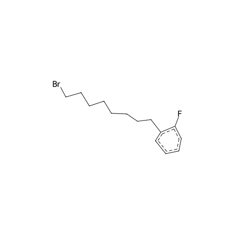 Fc1ccccc1CCCCCCCCBr